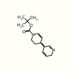 CC(C)(C)OC(=O)N1C=CC(=C2C=CCN=C2)CC1